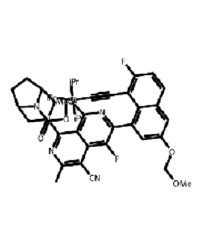 COCOc1cc(-c2nc(OC)c3c(N4CC5CCC(C4)N5C(=O)OC(C)(C)C)nc(C)c(C#N)c3c2F)c2c(C#C[Si](C(C)C)(C(C)C)C(C)C)c(F)ccc2c1